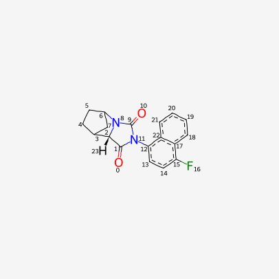 O=C1[C@@H]2C3CCC(C3)N2C(=O)N1c1ccc(F)c2ccccc12